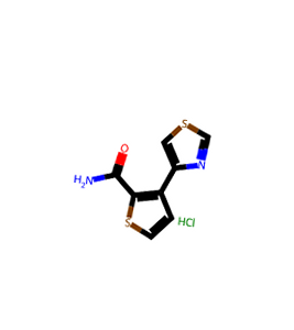 Cl.NC(=O)c1sccc1-c1cscn1